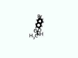 CNC(=O)OC1CCc2cc(Br)ccc2C1